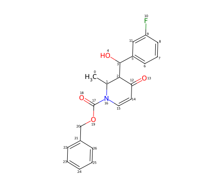 CC1C(C(O)c2cccc(F)c2)C(=O)C=CN1C(=O)OCc1ccccc1